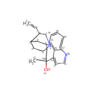 C=CC1CN2CCC1CC2C(C)(O)c1ccnc2ccccc12